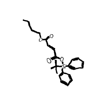 CCCCOC(=O)C=CC(=O)O[Si](c1ccccc1)(c1ccccc1)C(C)(C)C